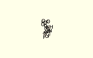 Fc1ccc(F)c([C@H]2CCCN2c2ccn3ncc(-c4nc5cc(O[C@@H]6CCOC6)c(O[C@H]6CCOC6)cc5[nH]4)c3n2)c1